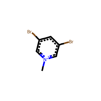 C[n+]1cc(Br)cc(Br)c1